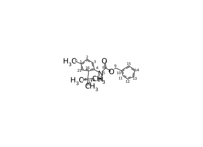 Cc1ccc(NC(=O)OCc2ccccc2)c(C(C)(C)C)c1